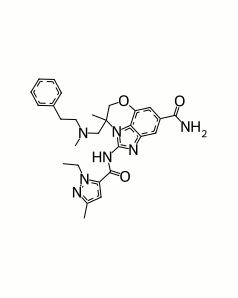 CCn1nc(C)cc1C(=O)Nc1nc2cc(C(N)=O)cc3c2n1C(C)(CN(C)CCc1ccccc1)CO3